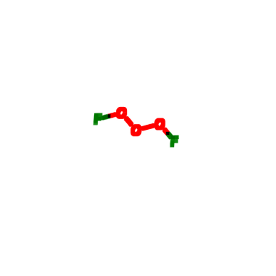 FOOOF